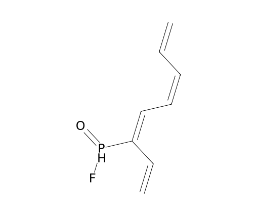 C=C/C=C\C=C(/C=C)[PH](=O)F